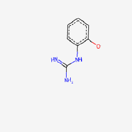 N=C(N)Nc1ccccc1[O]